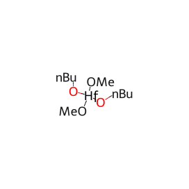 CCCC[O][Hf]([O]C)([O]C)[O]CCCC